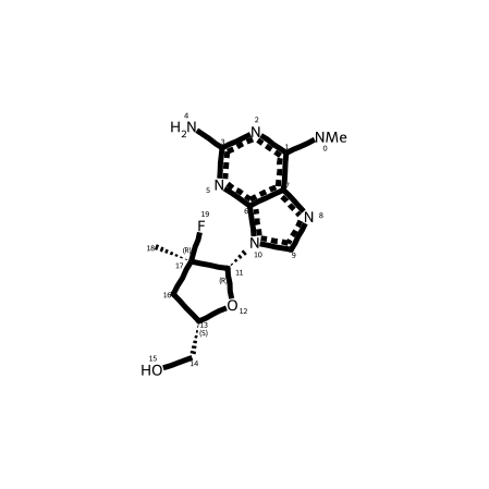 CNc1nc(N)nc2c1ncn2[C@@H]1O[C@H](CO)C[C@@]1(C)F